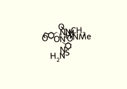 CNC(=O)N(C)N1CC(=O)N2[C@@H](Cc3ccc4occc4c3)C(=O)N(Cc3cccc4sc(N)nc34)C[C@@H]21